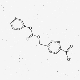 O=C(OCc1ccc([N+](=O)[O-])cc1)Oc1c[c]ccc1